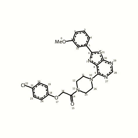 COc1cccc(-c2nc3c(N4CCN(C(=O)COc5ccc(Cl)cc5)CC4)ncnc3s2)c1